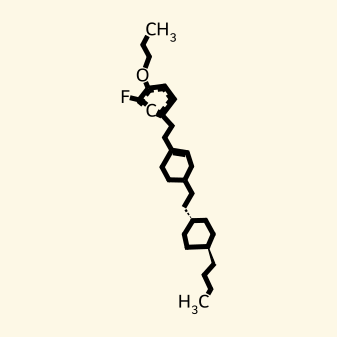 CCCC[C@H]1CC[C@H](CCC2CC=C(CCc3ccc(OCCC)c(F)c3)CC2)CC1